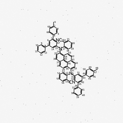 Cc1ccc(-c2cc(-c3ccccc3)cc(N(c3ccccc3C#N)c3ccc4ccc5c(N(c6cc(-c7ccccc7)cc(-c7ccc(C)cc7)c6)c6ccccc6C#N)ccc6ccc3c4c65)c2)cc1